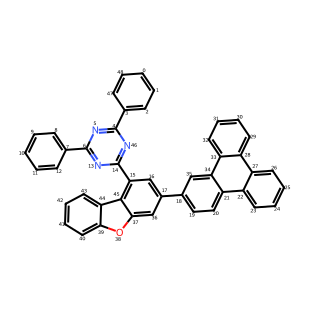 c1ccc(-c2nc(-c3ccccc3)nc(-c3cc(-c4ccc5c6ccccc6c6ccccc6c5c4)cc4oc5ccccc5c34)n2)cc1